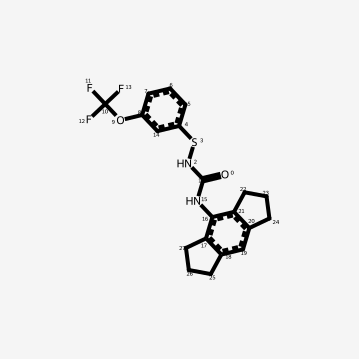 O=C(NSc1cccc(OC(F)(F)F)c1)Nc1c2c(cc3c1CCC3)CCC2